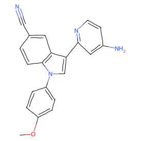 COc1ccc(-n2cc(-c3cc(N)ccn3)c3cc(C#N)ccc32)cc1